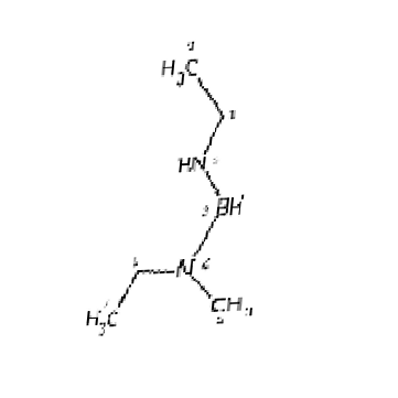 CCNBN(C)CC